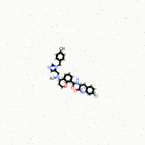 CC(=O)N(Cc1cncn1Cc1ccc(C#N)cc1)C1CCOc2c(C(=O)NC(Cc3ccc(Cl)cc3)C(N)=O)cccc21